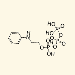 O=P(O)(O)OP(=O)(O)OP(=O)(O)OCCNc1ccccc1